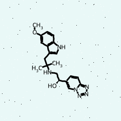 COc1ccc2[nH]cc(CC(C)(C)NC[C@H](O)c3ccc4nnnn4c3)c2c1